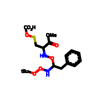 COC(=O)C(CSOC(=O)O)NOC(Cc1ccccc1)NOOC(C)(C)C